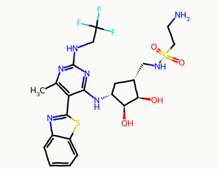 Cc1nc(NCC(F)(F)F)nc(N[C@@H]2C[C@H](CNS(=O)(=O)CCN)[C@@H](O)[C@H]2O)c1-c1nc2ccccc2s1